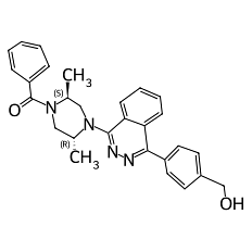 C[C@@H]1CN(C(=O)c2ccccc2)[C@@H](C)CN1c1nnc(-c2ccc(CO)cc2)c2ccccc12